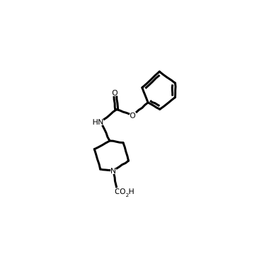 O=C(NC1CCN(C(=O)O)CC1)Oc1ccccc1